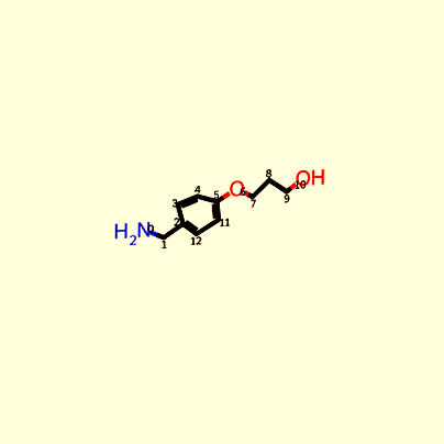 NCc1ccc(OCCCO)cc1